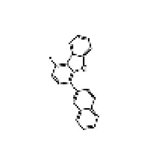 Cc1ccc(-c2ccc3ccccc3c2)c2oc3ccccc3c12